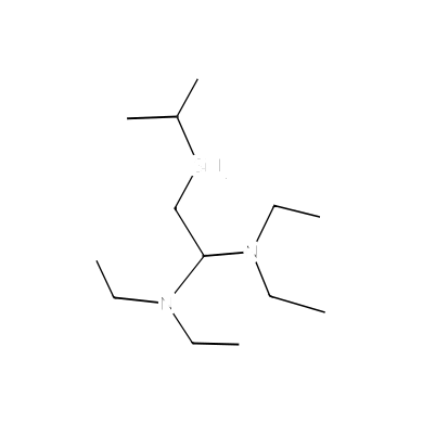 CCN(CC)C(C[SiH2]C(C)C)N(CC)CC